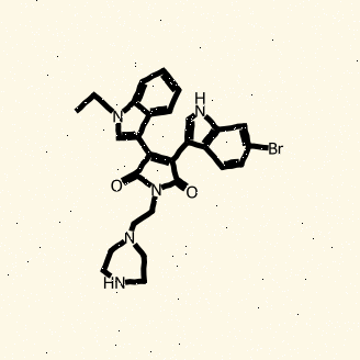 CCn1cc(C2=C(c3c[nH]c4cc(Br)ccc34)C(=O)N(CCN3CCNCC3)C2=O)c2ccccc21